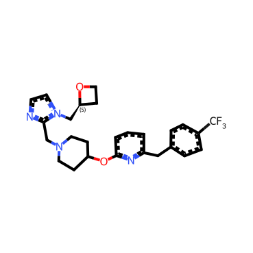 FC(F)(F)c1ccc(Cc2cccc(OC3CCN(Cc4nccn4C[C@@H]4CCO4)CC3)n2)cc1